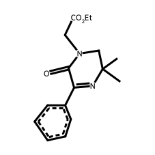 CCOC(=O)CN1CC(C)(C)N=C(c2ccccc2)C1=O